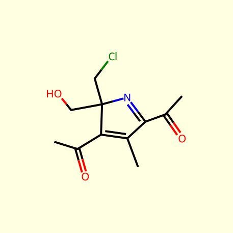 CC(=O)C1=NC(CO)(CCl)C(C(C)=O)=C1C